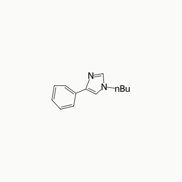 [CH2]CCCn1cnc(-c2ccccc2)c1